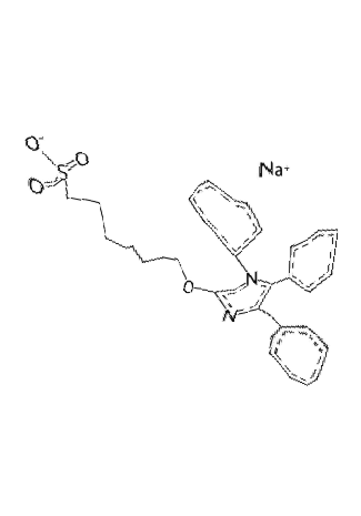 O=S(=O)([O-])CCCCCCOc1nc(-c2ccccc2)c(-c2ccccc2)n1-c1ccccc1.[Na+]